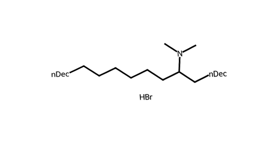 Br.CCCCCCCCCCCCCCCCC(CCCCCCCCCCC)N(C)C